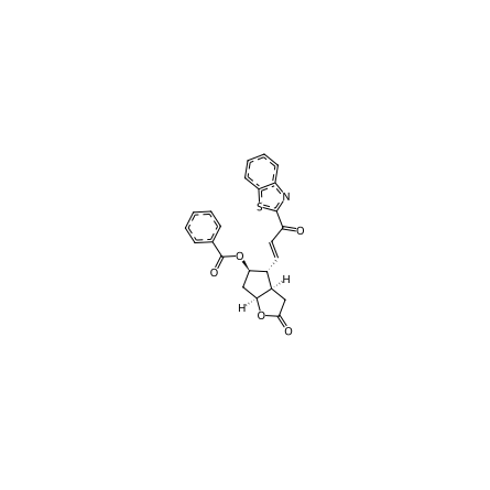 O=C1C[C@@H]2[C@@H](/C=C/C(=O)c3nc4ccccc4s3)[C@H](OC(=O)c3ccccc3)C[C@@H]2O1